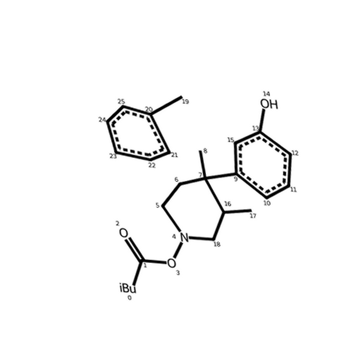 CCC(C)C(=O)ON1CCC(C)(c2cccc(O)c2)C(C)C1.Cc1ccccc1